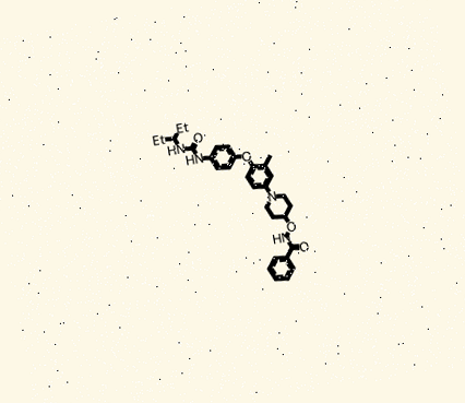 CCC(CC)NC(=O)Nc1ccc(Oc2ccc(N3CCC(ONC(=O)c4ccccc4)CC3)cc2C)cc1